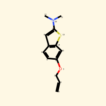 C=CCOc1ccc2cc(N(C)C)sc2c1